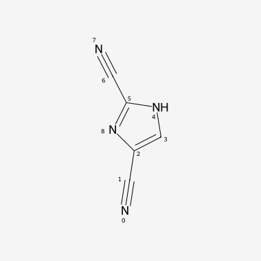 N#Cc1c[nH]c(C#N)n1